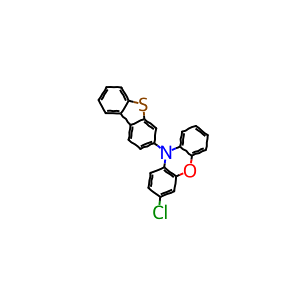 Clc1ccc2c(c1)Oc1ccccc1N2c1ccc2c(c1)sc1ccccc12